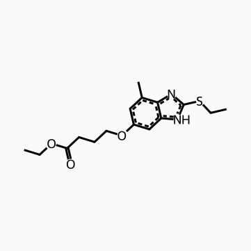 CCOC(=O)CCCOc1cc(C)c2nc(SCC)[nH]c2c1